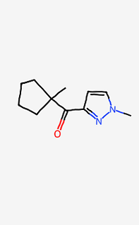 Cn1ccc(C(=O)C2(C)CCCC2)n1